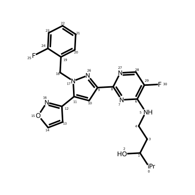 CC(C)C(O)CCNc1nc(-c2cc(-c3ccon3)n(Cc3ccccc3F)n2)ncc1F